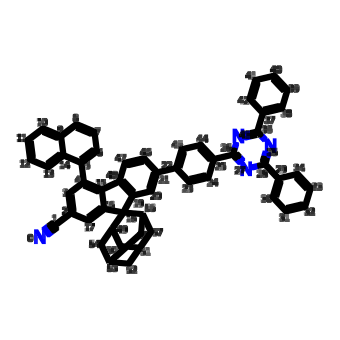 N#Cc1cc(-c2cccc3ccccc23)c2c(c1)C1(c3cc(-c4ccc(-c5nc(-c6ccccc6)nc(-c6ccccc6)n5)cc4)ccc3-2)C2CC3CC(C2)CC1C3